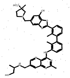 Cc1nc(Nc2cccc(-c3cccc(-c4nc5cc(CN6CC[C@@](C)(C(=O)O)C6)cc(C#N)c5o4)c3C)c2C)c2ncc(CNC(C)CO)cc2n1